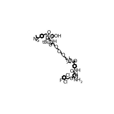 Cc1ncsc1-c1ccc(CNC(=O)[C@@H]2C[C@@H](O)CN2C(=O)[C@@H](NC(=O)CCOCCOCCOCCCN2[C@H](C)CN(C(=O)c3ccc(NC(=O)c4cc(OCCc5c(Cl)ccc(F)c5Cl)c(N)nn4)cc3)C[C@@H]2C)C(C)(C)C)cc1